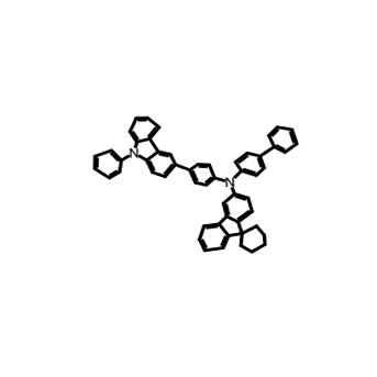 c1ccc(-c2ccc(N(c3ccc(-c4ccc5c(c4)c4ccccc4n5-c4ccccc4)cc3)c3ccc4c(c3)-c3ccccc3C43CCCCC3)cc2)cc1